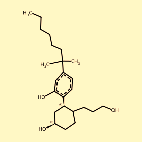 CCCCCCC(C)(C)c1ccc([C@@H]2C[C@H](O)CCC2CCCO)c(O)c1